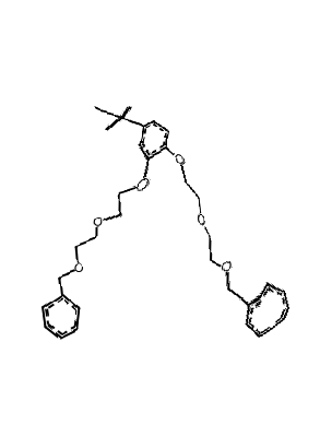 CC(C)(C)c1ccc(OCCOCCOCc2ccccc2)c(OCCOCCOCc2ccccc2)c1